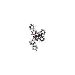 c1ccc(-c2ccc(-c3nc(-c4cccc(-c5ccccc5)c4)nc(-c4ccccc4N(c4ccccc4)c4ccccc4)n3)cc2)cc1